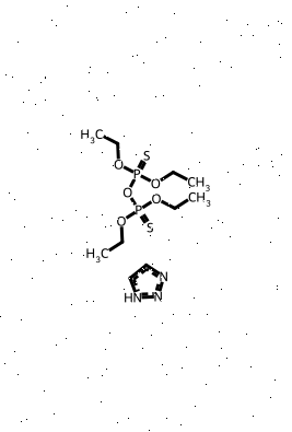 CCOP(=S)(OCC)OP(=S)(OCC)OCC.c1c[nH]nn1